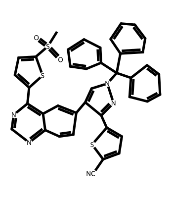 CS(=O)(=O)c1ccc(-c2ncnc3ccc(-c4cn(C(c5ccccc5)(c5ccccc5)c5ccccc5)nc4-c4ccc(C#N)s4)cc23)s1